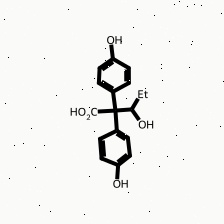 CCC(O)C(C(=O)O)(c1ccc(O)cc1)c1ccc(O)cc1